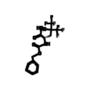 O=C(N[C@@H](CC(O)(C(F)(F)F)C(F)(F)F)C(=O)O)OCc1ccccc1